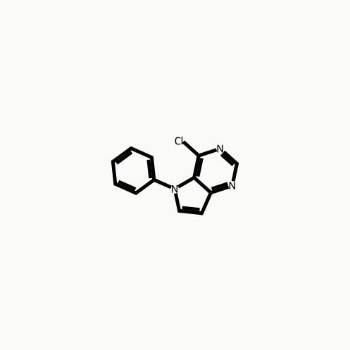 Clc1ncnc2ccn(-c3ccccc3)c12